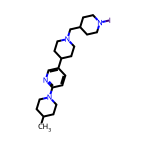 CC1CCN(c2ccc(C3CCN(CC4CCN(I)CC4)CC3)cn2)CC1